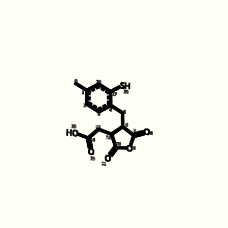 Cc1ccc(CC2C(=O)OC(=O)C2CC(=O)O)c(S)c1